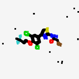 CC(F)(F)CCOc1c(Cl)cc(-c2csc(NC(=O)CBr)n2)cc1Cl